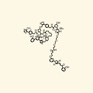 Cc1ncsc1-c1ccc(CNC(=O)[C@@H]2C[C@@H](OCc3ncsc3-c3ccc(CNC(=O)[C@@H]4C[C@@H](O)CN4C(=O)[C@@H](NC(=O)COCCOCCOCCNC(=O)CCCOc4cccc(N5C[C@H]6C[C@@H]5CN6/C=C/C(=O)c5ccccc5O)n4)C(C)(C)C)cc3)CN2C(=O)[C@@H](NC(=O)CCCCCCCN2CCC(Cn3cc(-c4cc(-c5ccccc5O)nnc4N)cn3)CC2)C(C)(C)C)cc1